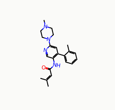 CC(C)=CC(=O)Nc1cnc(N2CCN(C)CC2)cc1-c1ccccc1C